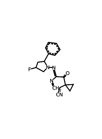 C=N/C(=N\N1CC(F)CC1c1ccccc1)C(=O)C1(CC#N)CC1